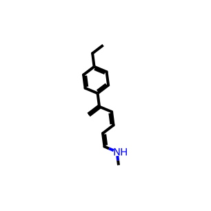 C=C(/C=C\C=C/NC)c1ccc(CC)cc1